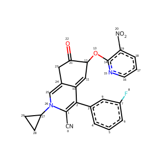 N#CC1=C(c2cccc(F)c2)C2=CC(Oc3ncccc3[N+](=O)[O-])C(=O)CC2=CN1C1CC1